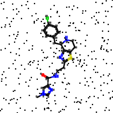 Cn1cnc(C(=O)NCCc2nc3c(s2)CCNC3Cc2ccc(Cl)cc2)c1